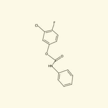 O=C(Nc1ccccc1)Oc1ccc(F)c(Cl)c1